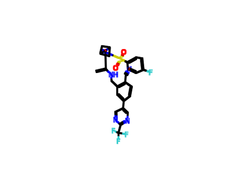 C=C(NCc1cc(-c2cnc(C(F)(F)F)nc2)ccc1C#N)C1C2CC(C2)N1S(=O)(=O)c1ccc(F)cc1